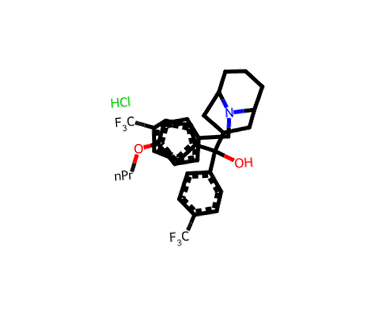 CCCOc1ccc(CN2C3CCCC2CC(C(O)(c2ccc(C(F)(F)F)cc2)c2ccc(C(F)(F)F)cc2)C3)cc1.Cl